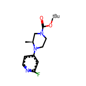 C[C@H]1CN(C(=O)OC(C)(C)C)CCN1c1ccnc(F)c1